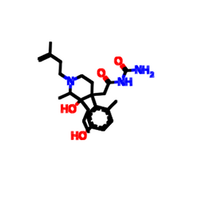 C=C(C)CCN1CCC(CC(=O)NC(N)=O)(c2cc(O)ccc2C)C(O)(CCC)C1C